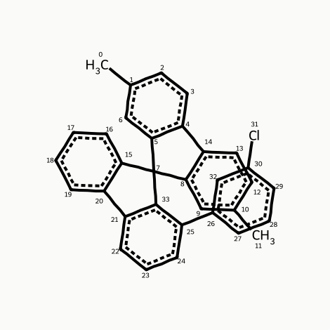 Cc1ccc2c(c1)C1(c3cc(C)ccc3-2)c2ccccc2-c2cccc(-c3cccc(Cl)c3)c21